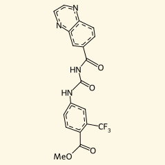 COC(=O)c1ccc(NC(=O)NC(=O)c2ccc3nccnc3c2)cc1C(F)(F)F